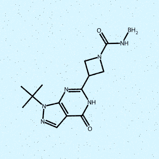 BNC(=O)N1CC(c2nc3c(cnn3C(C)(C)C)c(=O)[nH]2)C1